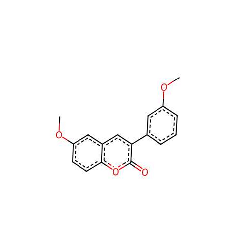 COc1cccc(-c2cc3cc(OC)ccc3oc2=O)c1